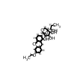 CCOc1ccc(Cc2cc([C@]34OC[C@](C(O)CC)(O3)[C@@H](O)[C@H](O)[C@H]4O)ccc2Cl)cc1